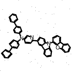 c1ccc(-c2ccc(N(c3ccc(-c4ccccc4)cc3)c3ccc(-c4ccc5c(c4)c4ccccc4n5-c4cccc5c4oc4ccccc45)nc3)cc2)cc1